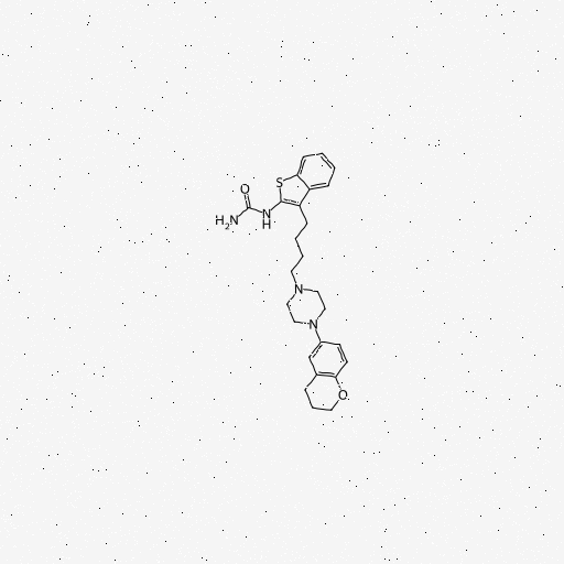 NC(=O)Nc1sc2ccccc2c1CCCCN1CCN(c2ccc3c(c2)CCCO3)CC1